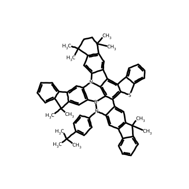 CC(C)(C)c1ccc(N2B3c4cc5c(cc4-n4c6cc7c(cc6c6c8c(sc9ccccc98)c(c3c64)-c3cc4c(cc32)-c2ccccc2C4(C)C)C(C)(C)CCC7(C)C)-c2ccccc2C5(C)C)cc1